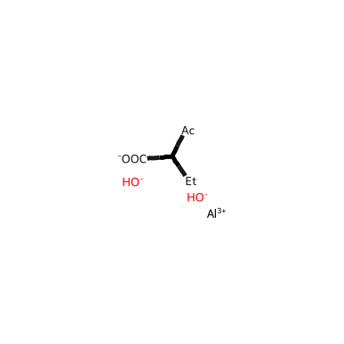 CCC(C(C)=O)C(=O)[O-].[Al+3].[OH-].[OH-]